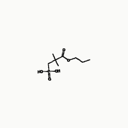 CCCOC(=O)C(C)(C)CP(=O)(O)O